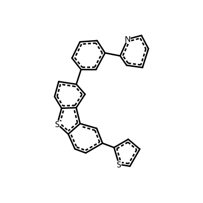 c1ccc(-c2cccc(-c3ccc4sc5ccc(-c6cccs6)cc5c4c3)c2)nc1